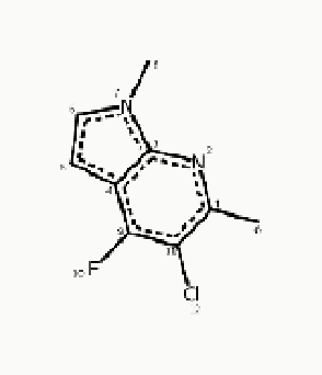 Cc1nc2c(ccn2C)c(F)c1Cl